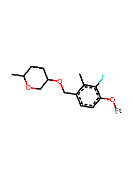 CCOc1ccc(COC2CCC(C)OC2)c(C)c1F